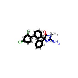 CN1C(=O)C(c2ccccc2)(c2cccc(-c3ccc(Cl)cc3Cl)c2)N=C1N